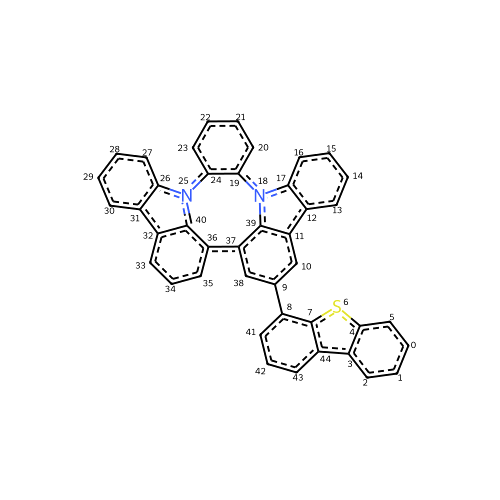 c1ccc2c(c1)sc1c(-c3cc4c5ccccc5n5c6ccccc6n6c7ccccc7c7cccc(c(c3)c45)c76)cccc12